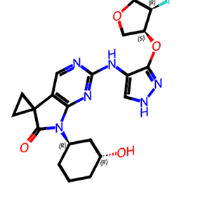 O=C1N([C@@H]2CCC[C@@H](O)C2)c2nc(Nc3c[nH]nc3O[C@H]3COC[C@H]3F)ncc2C12CC2